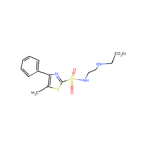 CCOC(=O)CNCCNS(=O)(=O)c1nc(-c2ccccc2)c(C)s1